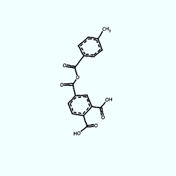 Cc1ccc(C(=O)OC(=O)c2ccc(C(=O)O)c(C(=O)O)c2)cc1